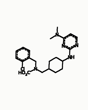 CN(C)c1ccnc(NC2CCC(CN(Cc3ccccc3Cl)C(=O)O)CC2)n1